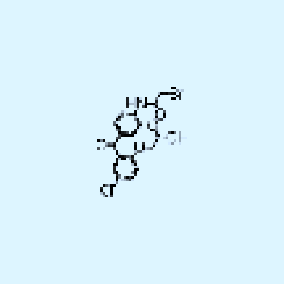 O=C(O)COc1ccc(Cl)cc1C(=O)c1ccc(NC(=O)CBr)cc1